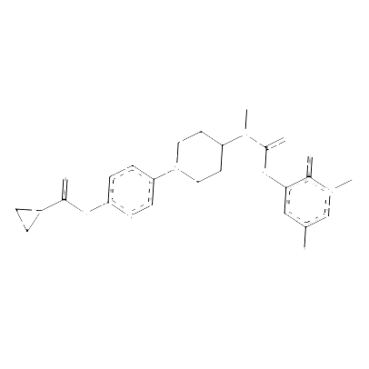 CN(C(=O)Nc1cc(C(F)(F)F)cn(C)c1=O)C1CCN(c2ccc(NC(=O)C3CC3)nc2)CC1